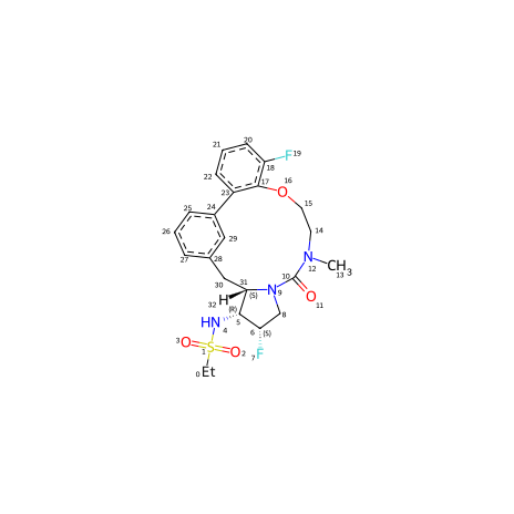 CCS(=O)(=O)N[C@H]1[C@@H](F)CN2C(=O)N(C)CCOc3c(F)cccc3-c3cccc(c3)C[C@@H]12